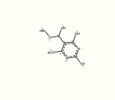 CCCCOC(CCC)c1c(O)nc(S)nc1OC(C)=O